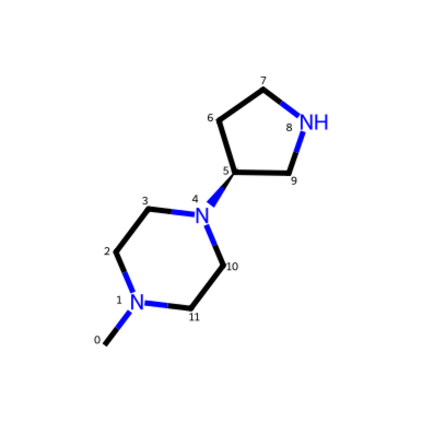 CN1CCN([C@H]2CCNC2)CC1